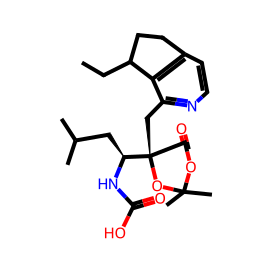 CCC1CCc2ccnc(C[C@]3([C@H](CC(C)C)NC(=O)O)OC(C)(C)OC3=O)c21